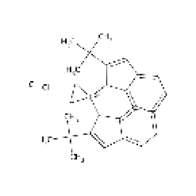 CC(C)(C)C1=Cc2ccccc2[CH]1[Ti+2]1([CH]2C(C(C)(C)C)=Cc3ccccc32)[CH2][CH2]1.[Cl-].[Cl-]